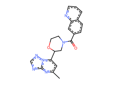 Cc1cc(C2CN(C(=O)c3ccc4cccnc4c3)CCO2)n2ncnc2n1